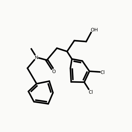 CN(Cc1ccccc1)C(=O)CC(CCO)c1ccc(Cl)c(Cl)c1